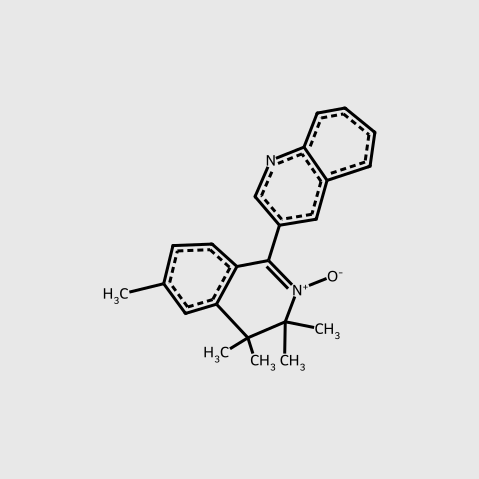 Cc1ccc2c(c1)C(C)(C)C(C)(C)[N+]([O-])=C2c1cnc2ccccc2c1